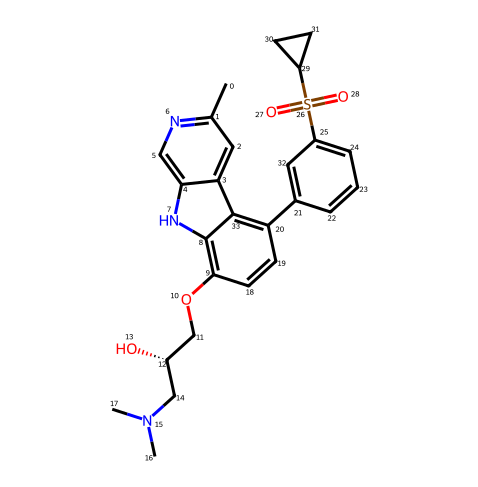 Cc1cc2c(cn1)[nH]c1c(OC[C@@H](O)CN(C)C)ccc(-c3cccc(S(=O)(=O)C4CC4)c3)c12